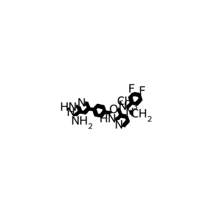 C=Nc1ccnc(NCc2ccc(-c3cnc4[nH]nc(N)c4c3)cc2)c1C(=O)N(C)Cc1ccc(F)c(F)c1